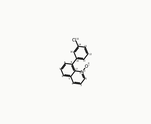 [O-][n+]1cccc2cccc(-c3cccc(Cl)c3)c21